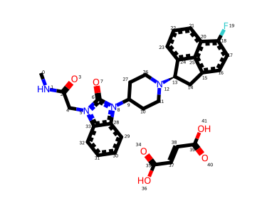 CNC(=O)Cn1c(=O)n(C2CCN([C@@H]3Cc4ccc(F)c5cccc3c45)CC2)c2ccccc21.O=C(O)C=CC(=O)O